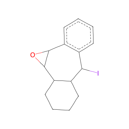 IC1c2ccccc2C2OC2C2CCCCC12